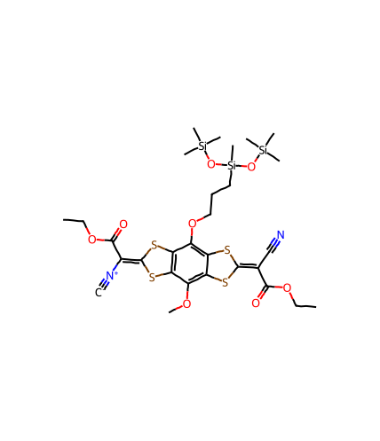 [C-]#[N+]/C(C(=O)OCC)=C1\Sc2c(OC)c3c(c(OCCC[Si](C)(O[Si](C)(C)C)O[Si](C)(C)C)c2S1)S/C(=C(\C#N)C(=O)OCC)S3